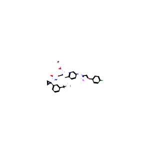 CC(C)(C)OC(=O)N[C@@H](Cc1ccc(Nc2cc(-c3ccc(F)cc3)on2)cc1)[C@H]1CN(C2(c3cccc(C(C)(C)C)c3)CC2)C(=O)O1